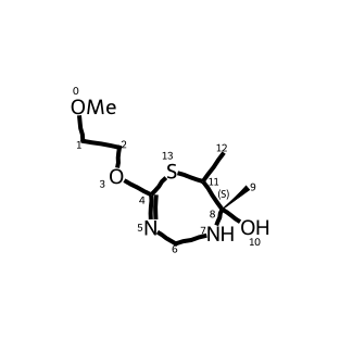 COCCOC1=NCN[C@@](C)(O)C(C)S1